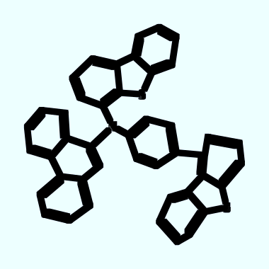 c1ccc2c(c1)cc(N(c1ccc(-c3cccc4sc5ccccc5c34)cc1)c1cccc3c1sc1ccccc13)c1ccccc12